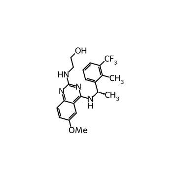 COc1ccc2nc(NCCO)nc(N[C@H](C)c3cccc(C(F)(F)F)c3C)c2c1